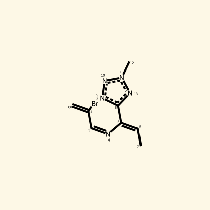 C=C(Br)/C=N\C(=C/C)c1nnn(C)n1